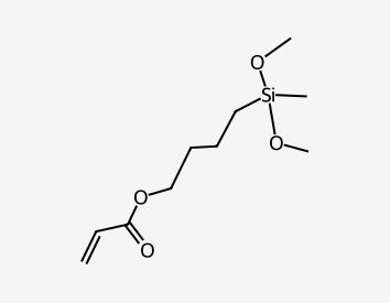 C=CC(=O)OCCCC[Si](C)(OC)OC